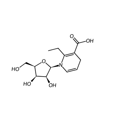 CCC1=C(C(=O)O)CC=CN1[C@@H]1O[C@H](CO)[C@H](O)[C@@H]1O